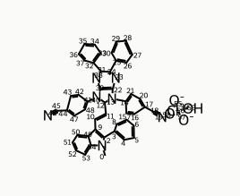 Cn1c(-c2ccccc2)c(C=CC2N(c3ccc(C#N)cc3)c3nc(-c4ccccc4)c(-c4ccccc4)nc3N2c2ccc(C#N)cc2)c2ccccc21.[O-][Cl+3]([O-])([O-])O